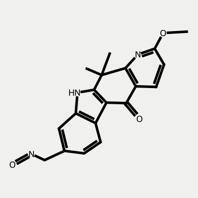 COc1ccc2c(n1)C(C)(C)c1[nH]c3cc(CN=O)ccc3c1C2=O